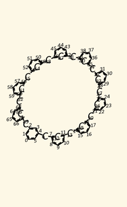 c1cc2cc(c1)Cc1cccc(c1)Cc1cccc(c1)Cc1cccc(c1)Cc1cccc(c1)Cc1cccc(c1)Cc1cccc(c1)Cc1cccc(c1)Cc1cccc(c1)Cc1cccc(c1)C2